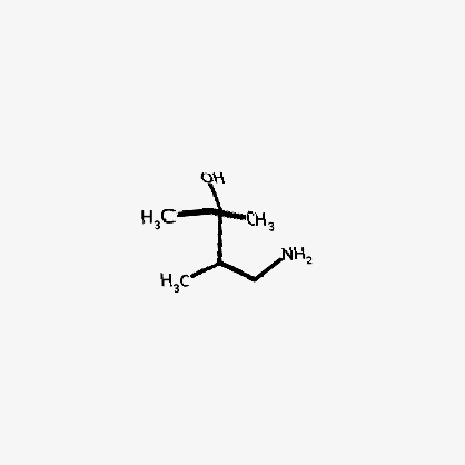 CC(CN)C(C)(C)O